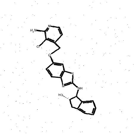 Nc1nccc(COc2ccc3nc(NC4c5ccccc5C[C@@H]4O)sc3c2)c1Cl